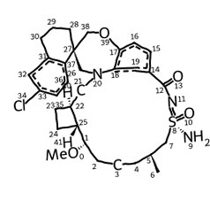 CO[C@H]1CCC[C@H](C)C[S@](N)(=O)=NC(=O)c2ccc3c(c2)N(C[C@@H]2CC[C@H]21)C[C@@]1(CCCc2cc(Cl)ccc21)CO3